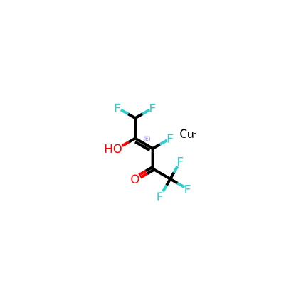 O=C(/C(F)=C(\O)C(F)F)C(F)(F)F.[Cu]